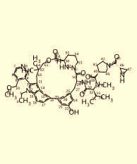 CCn1c(-c2cnccc2COC)c2c3cc(ccc31)-c1cc(O)cc(c1)C[C@H](NC(=O)[C@H](C(C)C)N(C)C(=O)[C@H]1CCN(C(=O)[C@@H]3CN3)C1)C(=O)N1CCC[C@H](N1)C(=O)OCC(C)(C)C2